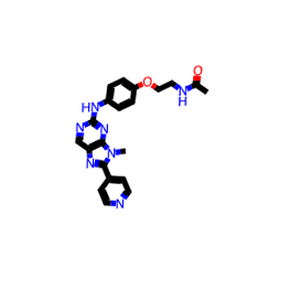 CC(=O)NCCOc1ccc(Nc2ncc3nc(-c4ccncc4)n(C)c3n2)cc1